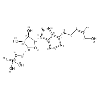 C/C(=C/CNc1ncnc2c1ncn2[C@@H]1O[C@H](COP(=O)(O)O)[C@@H](O)[C@H]1O)CO